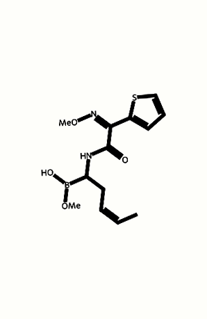 C/C=C\CC(NC(=O)/C(=N\OC)c1cccs1)B(O)OC